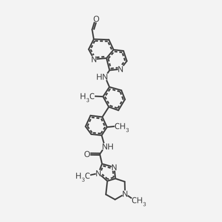 Cc1c(NC(=O)c2nc3c(n2C)CCN(C)C3)cccc1-c1cccc(Nc2nccc3cc(C=O)cnc23)c1C